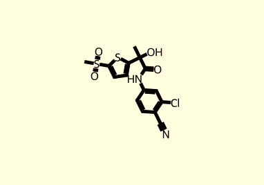 CC(O)(C(=O)Nc1ccc(C#N)c(Cl)c1)c1ccc(S(C)(=O)=O)s1